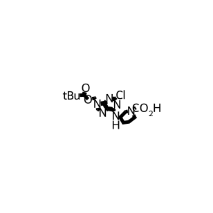 CC(C)(C)C(=O)OCn1cnc2c(N[C@@H]3CCCN(C(=O)O)C3)nc(Cl)nc21